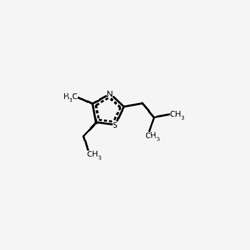 CCc1sc(CC(C)C)nc1C